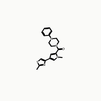 Cc1nc(-c2cc(C(=O)N3CCN(c4ccccc4)CC3)n(C)c2)cs1